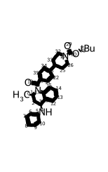 C[C@@H]1C[C@H](Nc2ccccc2)c2ccccc2N1C(=O)c1ccc(C2CCN(C(=O)OC(C)(C)C)CC2)cc1